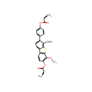 C=CC(=O)Oc1ccc(-c2ccc3c(sc4c(OC(F)(F)F)c(OC(=O)C=C)ccc43)c2OC)cc1